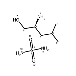 CC(C)C[C@H](N)CO.NS(N)(=O)=O